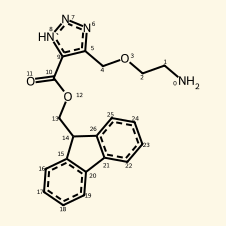 NCCOCc1nn[nH]c1C(=O)OCC1c2ccccc2-c2ccccc21